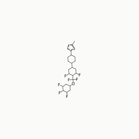 Cc1ccc(C2CCC(C3CC(F)C(C(F)(F)OC4CC(F)C(F)C(F)C4)C(F)C3)CC2)s1